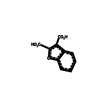 O=C(O)c1oc2ccccc2c1C(=O)O